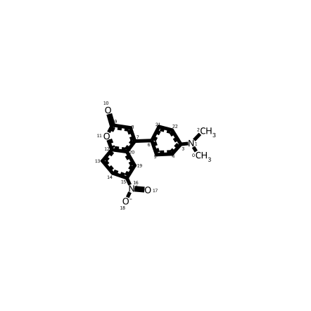 CN(C)c1ccc(-c2cc(=O)oc3ccc([N+](=O)[O-])cc23)cc1